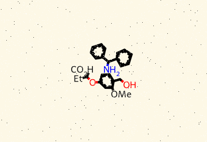 CCC(Oc1ccc(CO)c(OC)c1)C(=O)O.NC(c1ccccc1)c1ccccc1